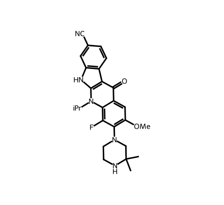 COc1cc2c(=O)c3c4ccc(C#N)cc4[nH]c3n(C(C)C)c2c(F)c1N1CCNC(C)(C)C1